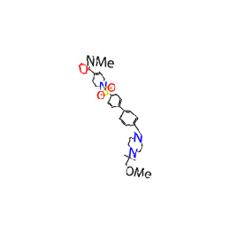 CNC(=O)C1=CCN(S(=O)(=O)c2ccc(-c3ccc(CN4CCN(C(C)(C)COC)CC4)cc3)cc2)CC1